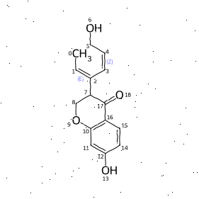 C/C=C(\C=C/CO)C1COc2cc(O)ccc2C1=O